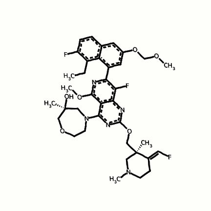 CCc1c(F)ccc2cc(OCOC)cc(-c3nc(OC)c4c(N5CCOC[C@@](C)(O)C5)nc(OC[C@]5(C)CN(C)CC/C5=C\F)nc4c3F)c12